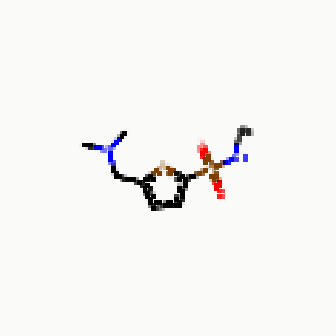 CN(C)Cc1ccc(S(=O)(=O)NC(C)(C)C)s1